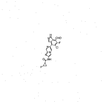 O=Cc1c(F)c(Cl)c(-c2cn3cc(NC(=O)C4CC4F)nc3cn2)c2cn[nH]c12